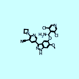 COc1cc2[nH]nc(-c3cnc(N4CCC4)c(C#N)c3)c2cc1O[C@H](N)c1c(Cl)cncc1Cl